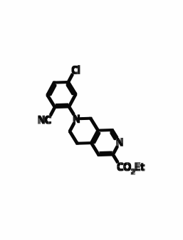 CCOC(=O)c1cc2c(cn1)CN(c1cc(Cl)ccc1C#N)CC2